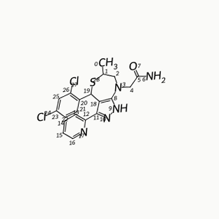 CC1CN(CC(N)=O)c2[nH]nc(-c3ccccn3)c2C(c2ccc(Cl)cc2Cl)S1